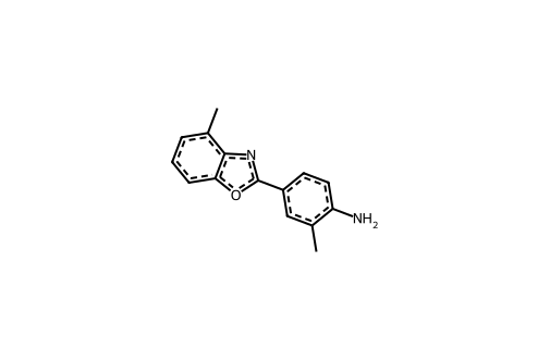 Cc1cc(-c2nc3c(C)cccc3o2)ccc1N